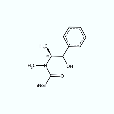 CCCCCCCCCC(=O)N(C)[C@@H](C)C(O)c1ccccc1